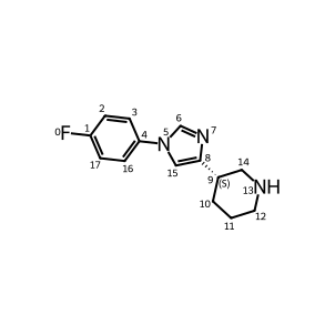 Fc1ccc(-n2cnc([C@H]3CCCNC3)c2)cc1